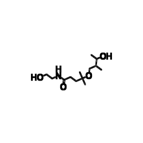 CC(O)C(C)COC(C)(C)CCC(=O)NCCO